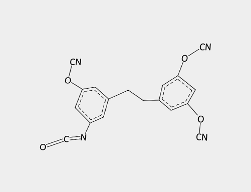 N#COc1cc(CCc2cc(OC#N)cc(OC#N)c2)cc(N=C=O)c1